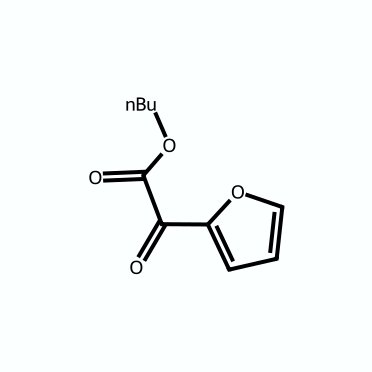 CCCCOC(=O)C(=O)c1ccco1